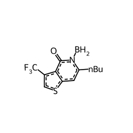 Bn1c(CCCC)cc2scc(C(F)(F)F)c2c1=O